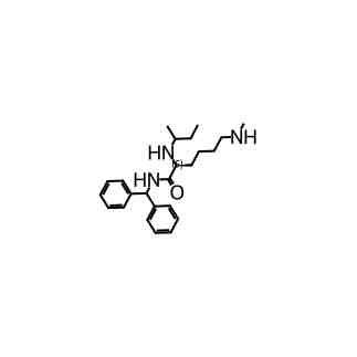 CCC(C)N[C@@H](CCCCNC)C(=O)NC(c1ccccc1)c1ccccc1